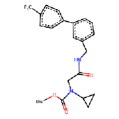 CC(C)(C)OC(=O)N(CC(=O)NCc1cccc(-c2ccc(C(F)(F)F)cc2)c1)C1CC1